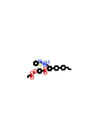 C=CC(=O)OCOc1ccc(C(=O)Oc2ccc(C3CCC(C4CCC(CCC)CC4)CC3)cc2/C=N/Nc2nc3ccccc3s2)cc1